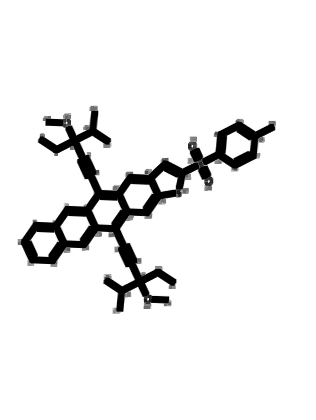 CCC(C#Cc1c2cc3ccccc3cc2c(C#CC(CC)(OC)C(C)C)c2cc3sc(S(=O)(=O)c4ccc(C)cc4)cc3cc12)(OC)C(C)C